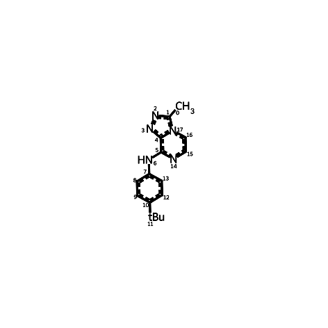 Cc1nnc2c(Nc3ccc(C(C)(C)C)cc3)nccn12